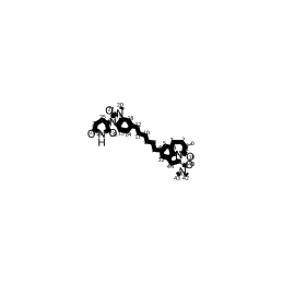 C[C@H]1CCc2cc(CCCCCCc3ccc4c(c3)n(C)c(=O)n4C3CCC(=O)NC3=O)cc3c2N(C1=O)[C@H](C(=O)N(C)C)C3